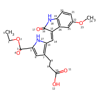 CCOC(=O)c1cc(CCC(=O)O)c(C=C2C(=O)Nc3ccc(OC)cc32)[nH]1